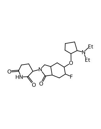 CCN(CC)C1CCCC1OC1CC2CN(C3CCC(=O)NC3=O)C(=O)C2CC1F